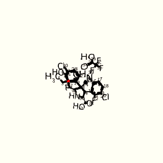 CCC(CC)(CO)C[C@@H]1N[C@@H](C(=O)O)[C@H](c2cccc(Cl)c2F)[C@@]1(C#N)c1ccc(Cl)cc1F.O=C(O)C(F)(F)F